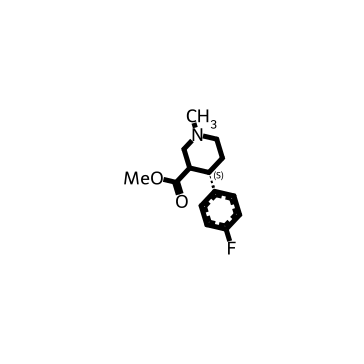 COC(=O)C1CN(C)CC[C@@H]1c1ccc(F)cc1